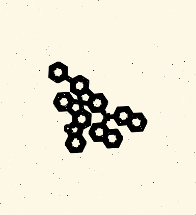 c1ccc(-c2ccc3c(c2)C2(c4cc(N(c5ccc6ccccc6c5)c5cccc6ccccc56)ccc4-3)c3ccccc3-c3c2ccc2c3oc3ccccc32)cc1